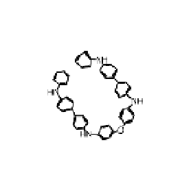 c1ccc(Nc2ccc(-c3ccc(Nc4ccc(Oc5ccc(Nc6ccc(-c7ccc(Nc8ccccc8)cc7)cc6)cc5)cc4)cc3)cc2)cc1